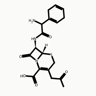 CC(=O)CC1=C(C(=O)O)N2C(=O)[C@@H](NC(=O)C(N)C3=CCC=CC3)[C@@H]2SC1